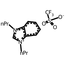 CCCn1c[n+](CCC)c2ccccc21.O=S(=O)([O-])C(F)(F)F